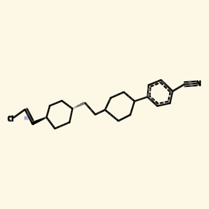 N#Cc1ccc(C2CCC(CC[C@H]3CC[C@H](/C=C/Cl)CC3)CC2)cc1